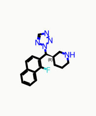 Fc1c(C([C@@H]2CCCNC2)n2ncnn2)ccc2ccccc12